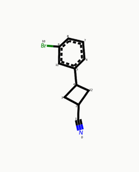 N#CC1CC(c2cccc(Br)c2)C1